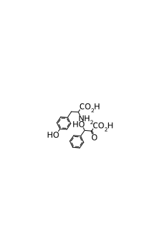 NC(Cc1ccc(O)cc1)C(=O)O.O=C(O)C(=O)C(O)c1ccccc1